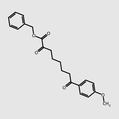 COc1ccc(C(=O)CCCCCC(=O)C(=O)OCc2ccccc2)cc1